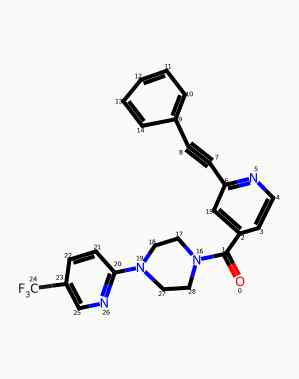 O=C(c1ccnc(C#Cc2ccccc2)c1)N1CCN(c2ccc(C(F)(F)F)cn2)CC1